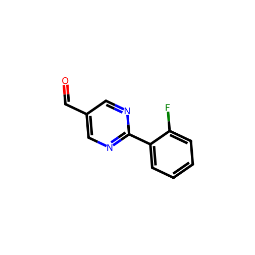 O=Cc1cnc(-c2ccccc2F)nc1